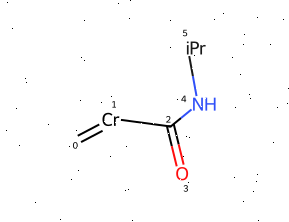 [CH2]=[Cr][C](=O)NC(C)C